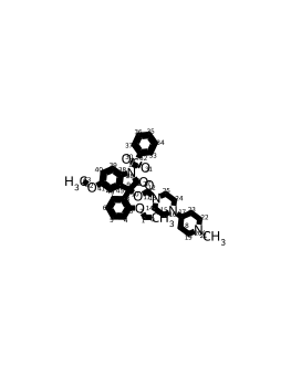 CCOc1ccccc1C1(OC(=O)N2CCN(C3CCN(C)CC3)CC2)C(=O)N(S(=O)(=O)c2ccccc2)c2ccc(OC)cc21